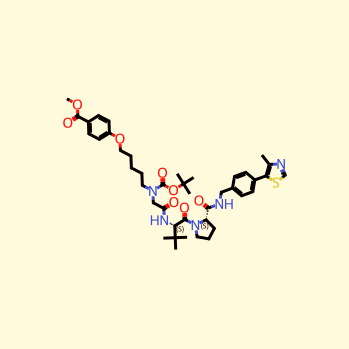 COC(=O)c1ccc(OCCCCCN(CC(=O)N[C@H](C(=O)N2CCC[C@H]2C(=O)NCc2ccc(-c3scnc3C)cc2)C(C)(C)C)C(=O)OC(C)(C)C)cc1